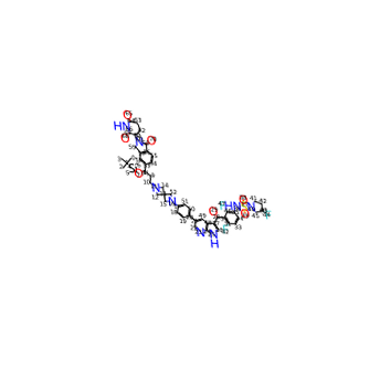 CC(C)(C)[Si](C)(C)O[C@H](CCN1CC2(C1)CN(c1ccc(-c3cnc4[nH]cc(C(=O)c5c(F)ccc(NS(=O)(=O)N6CC[C@@H](F)C6)c5F)c4c3)cc1)C2)c1ccc2c(c1)CN([C@H]1CCC(=O)NC1=O)C2=O